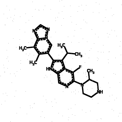 Cc1c(-c2[nH]c3cnc(N4CCNCC4C)c(F)c3c2C(C)C)cn2ncnc2c1C